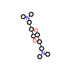 c1ccc(N(c2ccccc2)c2ccc(-c3ccc4c(c3)Oc3ccc5c6c(ccc-4c36)Oc3cc(-c4ccc(N(c6ccccc6)c6ccccc6)cc4)ccc3-5)cc2)cc1